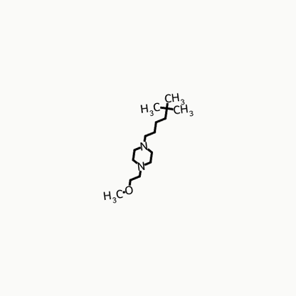 COCCN1CCN(CCCCC(C)(C)C)CC1